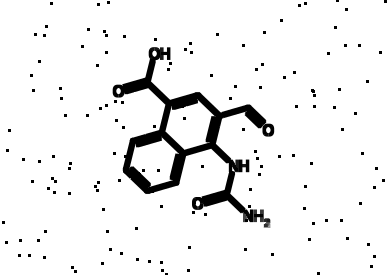 NC(=O)Nc1c(C=O)cc(C(=O)O)c2ccccc12